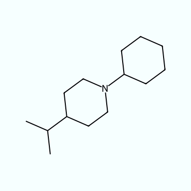 CC(C)C1CCN(C2CCCCC2)CC1